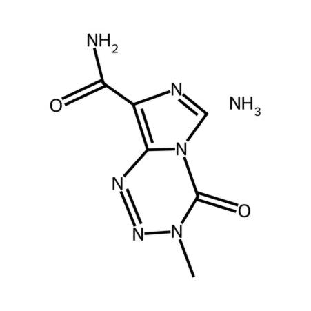 Cn1nnc2c(C(N)=O)ncn2c1=O.N